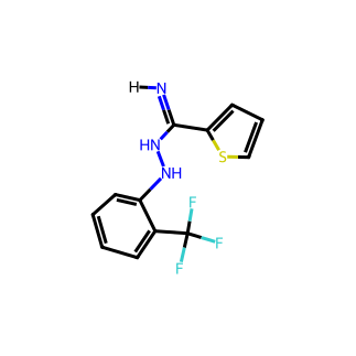 [H]/N=C(\NNc1ccccc1C(F)(F)F)c1cccs1